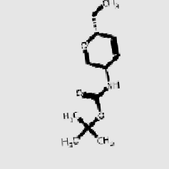 CC[C@@H]1C=C[C@@H](NC(=O)OC(C)(C)C)CO1